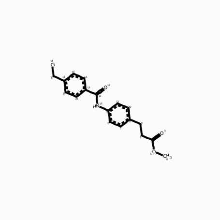 COC(=O)CCc1ccc(NC(=O)c2ccc(CCl)cc2)cc1